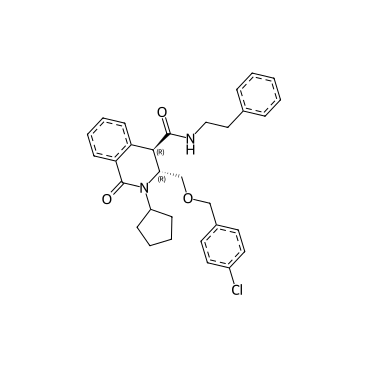 O=C(NCCc1ccccc1)[C@@H]1c2ccccc2C(=O)N(C2CCCC2)[C@H]1COCc1ccc(Cl)cc1